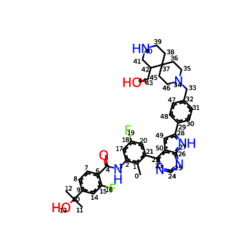 Cc1c(NC(=O)c2ccc(C(C)(C)O)cc2F)cc(F)cc1-c1ncnc2[nH]c(-c3ccc(CN4CCC5(CCNCC5CO)CC4)cc3)cc12